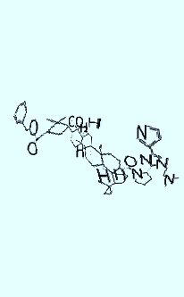 CN(C)CCn1cc(-c2cccnc2)nc1[C@@H]1CCCN1C(=O)[C@]12CCC(C3(C)CC3)[C@@H]1[C@H]1CC[C@@H]3[C@]4(C)CC[C@H]([C@@]5(C(=O)O)C[C@@H](C(=O)OCc6ccccc6)C5(C)C)C(C)(C)[C@H]4CC[C@@]3(C)[C@]1(C)CC2